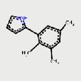 Cc1cc(C)c(C)c(-c2ccc[nH]2)c1